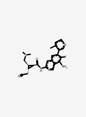 Cc1ccncc1-c1cc2cc(NC(=O)[C@H]3[C@H](CC#N)[C@H]3CN(C)C)ncc2c(N)c1F